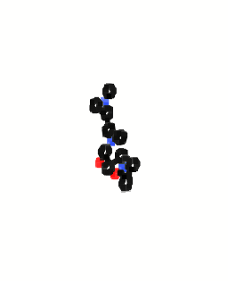 O=c1c2ccccc2c2cccc3c4cccc(-c5cccc6oc7ccc(-n8c9ccccc9c9cc(-c%10ccc%11c(c%10)c%10ccccc%10n%11-c%10ccccc%10)ccc98)cc7c56)c4n1c23